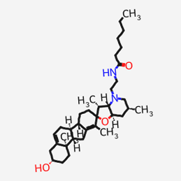 CCCCCCC(=O)NCCN1C[C@@H](C)C[C@H]2OC3(CC[C@@H]4C(=C3C)C[C@H]3[C@H]4CC=C4C[C@@H](O)CC[C@@]43C)[C@H](C)[C@@H]21